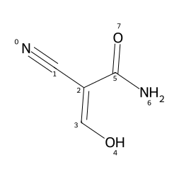 N#CC(=CO)C(N)=O